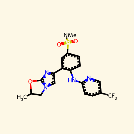 CNS(=O)(=O)c1ccc(Nc2ccc(C(F)(F)F)cn2)c(-c2cn3c(n2)OC(C)C3)c1